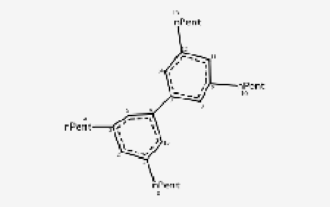 CCCCCc1cc(CCCCC)cc(-c2cc(CCCCC)cc(CCCCC)c2)c1